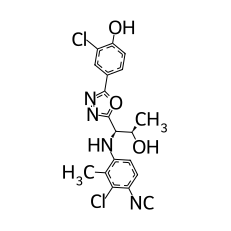 [C-]#[N+]c1ccc(N[C@@H](c2nnc(-c3ccc(O)c(Cl)c3)o2)[C@@H](C)O)c(C)c1Cl